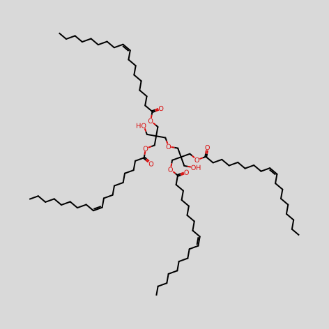 CCCCCCCC/C=C\CCCCCCCC(=O)OCC(CO)(COCC(CO)(COC(=O)CCCCCCC/C=C\CCCCCCCC)COC(=O)CCCCCCC/C=C\CCCCCCCC)COC(=O)CCCCCCC/C=C\CCCCCCCC